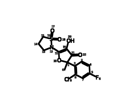 CC1(c2ccc(F)cc2Cl)OC(N2CCCS2(=O)=O)=C(O)C1=O